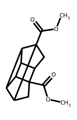 COC(=O)C12CC3C4C1C1C2CC3(C(=O)OC)C14